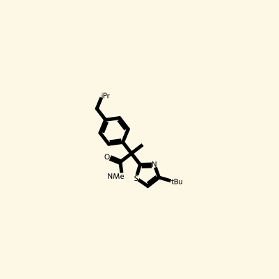 CNC(=O)C(C)(c1ccc(CC(C)C)cc1)c1nc(C(C)(C)C)cs1